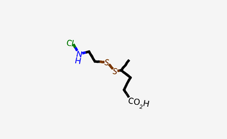 CC(CCC(=O)O)SSCCNCl